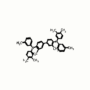 Cc1cccc(N(c2ccc(C)c(C)c2)c2ccc(-c3ccc(N(c4cccc(C)c4)c4ccc(C)c(C)c4)c(C)c3)cc2C)c1